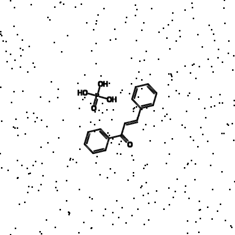 O=C(/C=C/c1ccccc1)c1ccccc1.O=P(O)(O)O